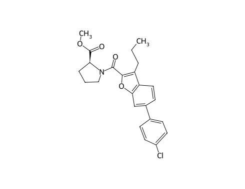 CCCc1c(C(=O)N2CCC[C@H]2C(=O)OC)oc2cc(-c3ccc(Cl)cc3)ccc12